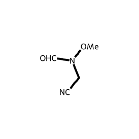 CON(C=O)CC#N